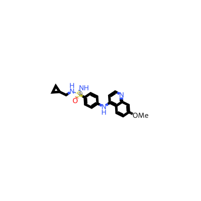 COc1ccc2c(Nc3ccc([S@](=N)(=O)NCC4CC4)cc3)ccnc2c1